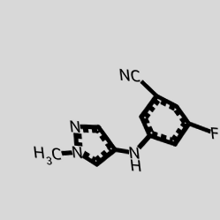 Cn1cc(Nc2cc(F)cc(C#N)c2)cn1